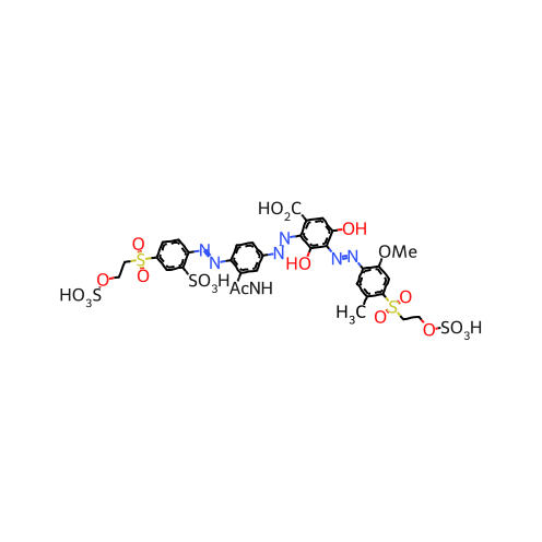 COc1cc(S(=O)(=O)CCOS(=O)(=O)O)c(C)cc1N=Nc1c(O)cc(C(=O)O)c(N=Nc2ccc(N=Nc3ccc(S(=O)(=O)CCOS(=O)(=O)O)cc3S(=O)(=O)O)c(NC(C)=O)c2)c1O